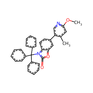 COc1cc(C)c(-c2ccc3c(c2)oc(=O)n3C(c2ccccc2)(c2ccccc2)c2ccccc2)cn1